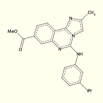 COC(=O)c1ccc2c(c1)nc(Nc1cccc(C(C)C)c1)n1cc(C)nc21